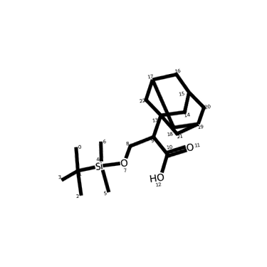 CC(C)(C)[Si](C)(C)OCC(C(=O)O)C12CC3CC(CC(C3)C1)C2